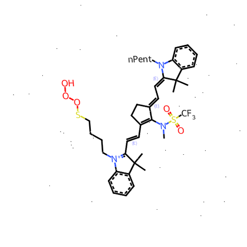 CCCCCN1/C(=C/C=C2\CCC(/C=C/C3=[N+](CCCCSOOO)c4ccccc4C3(C)C)=C2N(C)S(=O)(=O)C(F)(F)F)C(C)(C)c2ccccc21